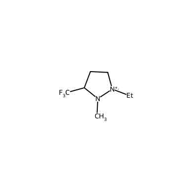 CC[N+]1CCC(C(F)(F)F)N1C